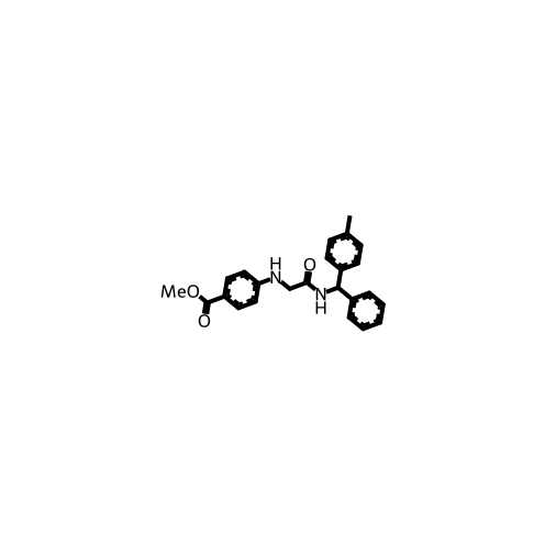 COC(=O)c1ccc(NCC(=O)NC(c2ccccc2)c2ccc(C)cc2)cc1